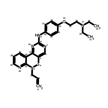 C=CCN1Sc2cnc(Nc3ccc(OCCN(CC)CC)cc3)nc2-c2cccnc21